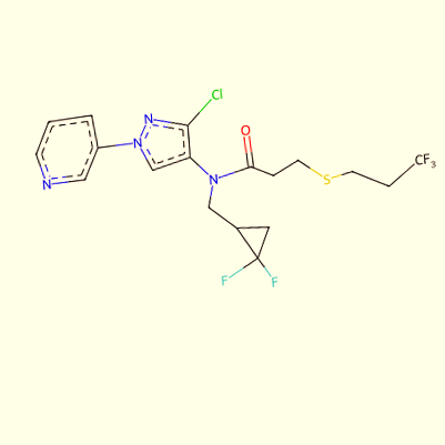 O=C(CCSCCC(F)(F)F)N(CC1CC1(F)F)c1cn(-c2cccnc2)nc1Cl